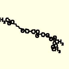 C=CC(=O)OCCCCCCOc1ccc(-c2ccc(OC(=O)c3ccc(OCCOC(=O)C(=C)CC(=O)OC)cc3)cc2)cc1